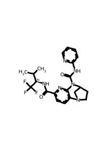 CC(C)[C@@H](NC(=O)c1ccc2c(n1)N(C(=O)Nc1ccccn1)C1CCN2C1)C(F)(F)F